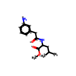 COC(=O)C(CC(C)C)NC(=O)Cc1cccc(N)c1